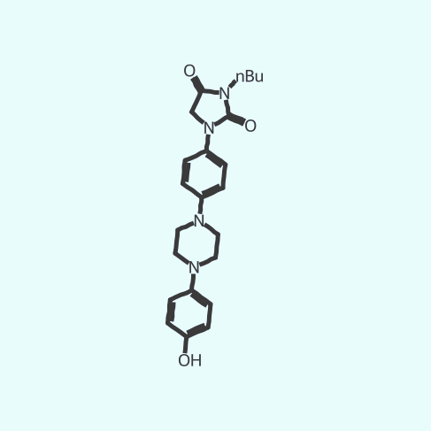 CCCCN1C(=O)CN(c2ccc(N3CCN(c4ccc(O)cc4)CC3)cc2)C1=O